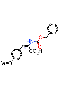 COc1ccc(/C=C(/NC(=O)OCc2ccccc2)C(=O)O)cc1